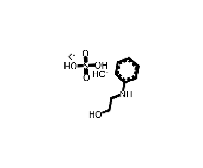 O=S(=O)(O)O.OCCNc1ccccc1.[K+].[OH-]